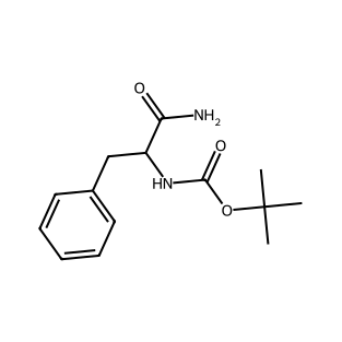 CC(C)(C)OC(=O)NC(Cc1ccccc1)C(N)=O